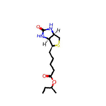 CCC(C)OC(=O)CCCC[C@@H]1SC[C@@H]2NC(=O)N[C@@H]21